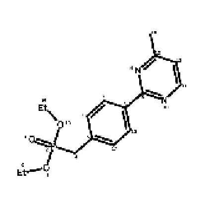 CCOP(=O)(Cc1ccc(-c2nccc(C)n2)cc1)OCC